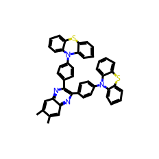 Cc1cc2nc(-c3ccc(N4c5ccccc5Sc5ccccc54)cc3)c(-c3ccc(N4c5ccccc5Sc5ccccc54)cc3)nc2cc1C